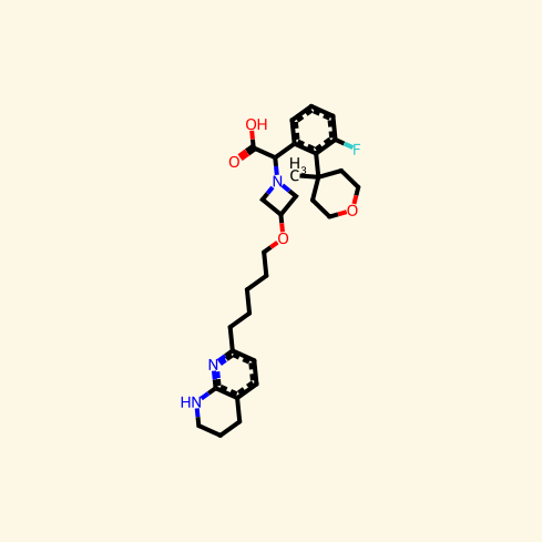 CC1(c2c(F)cccc2C(C(=O)O)N2CC(OCCCCCc3ccc4c(n3)NCCC4)C2)CCOCC1